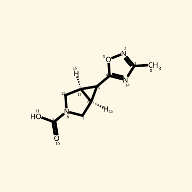 Cc1noc(C2[C@H]3CN(C(=O)O)C[C@@H]23)n1